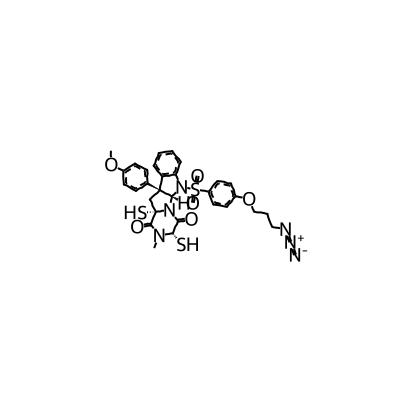 COc1ccc([C@]23C[C@]4(S)C(=O)N(C)[C@@H](S)C(=O)N4[C@H]2N(S(=O)(=O)c2ccc(OCCCN=[N+]=[N-])cc2)c2ccccc23)cc1